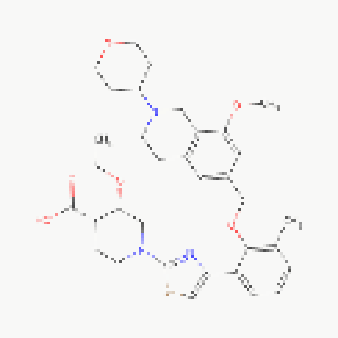 CCO[C@@H]1CN(c2nc(-c3cccc(C)c3OCc3cc4c(c(OC)c3)CN(C3CCOCC3)CC4)cs2)CC[C@@H]1C(=O)O